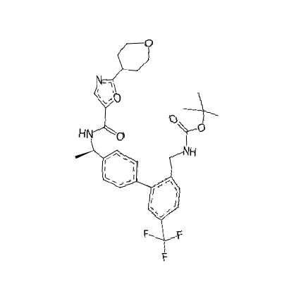 C[C@@H](NC(=O)c1cnc(C2CCOCC2)o1)c1ccc(-c2cc(C(F)(F)F)ccc2CNC(=O)OC(C)(C)C)cc1